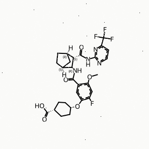 COc1cc(F)c(O[C@H]2CC[C@@H](C(=O)O)CC2)cc1C(=O)N[C@@H]1[C@H]2CC[C@H](C2)[C@@H]1C(=O)Nc1nccc(C(F)(F)F)n1